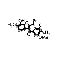 COc1cc(C(=O)c2c(CBr)oc3c(O)c(C)ccc23)cc(C)c1C